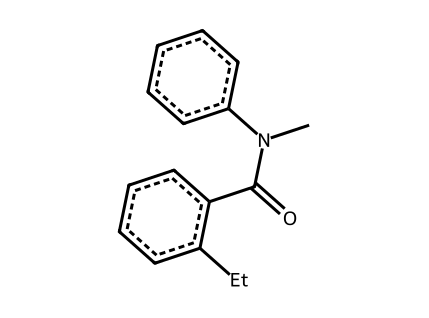 CCc1ccccc1C(=O)N(C)c1ccccc1